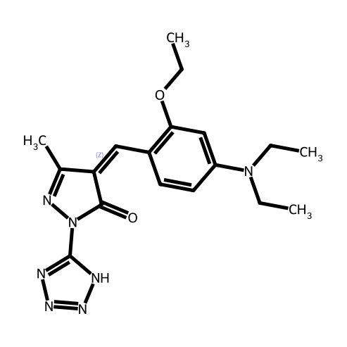 CCOc1cc(N(CC)CC)ccc1/C=C1\C(=O)N(c2nnn[nH]2)N=C1C